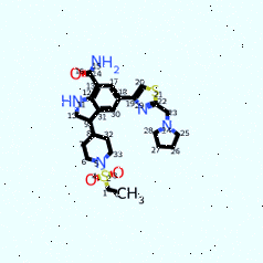 CCS(=O)(=O)N1CCC(C2CNc3c(C(N)=O)cc(-c4csc(CN5CCCC5)n4)cc32)CC1